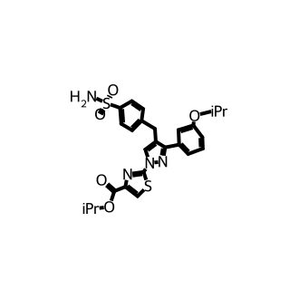 CC(C)OC(=O)c1csc(-n2cc(Cc3ccc(S(N)(=O)=O)cc3)c(-c3cccc(OC(C)C)c3)n2)n1